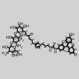 NC1C(O)[C@H](OC2[C@H](N)CC(N)[C@@H](O[C@H]3OC(CNC(=O)CCCc4cn(CCCNC(=S)Nc5ccc(-c6c7ccc(=O)cc-7oc7cc(O)ccc67)c(C(=O)O)c5)nn4)[C@@H](O)[C@H](O)C3O)[C@@H]2O)OC(CO)[C@@H]1O